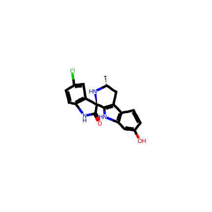 C[C@@H]1Cc2c([nH]c3cc(O)ccc23)[C@]2(N1)C(=O)Nc1ccc(Cl)cc12